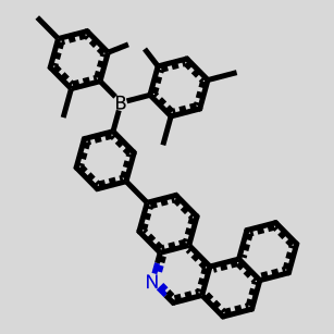 Cc1cc(C)c(B(c2cccc(-c3ccc4c(c3)ncc3ccc5ccccc5c34)c2)c2c(C)cc(C)cc2C)c(C)c1